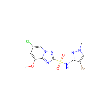 COc1cc(Cl)cn2nc(S(=O)(=O)Nc3nn(C)cc3Br)nc12